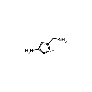 NCc1cc(N)c[nH]1